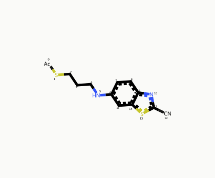 CC(=O)SCCCNc1ccc2nc(C#N)sc2c1